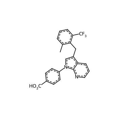 Cc1cccc(C(F)(F)F)c1Cc1cn(-c2ccc(C(=O)O)cc2)c2ncccc12